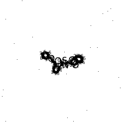 O=C(COc1ccccc1)N1CCCC[C@@H]1c1csc(C2COc3ccccc3O2)n1